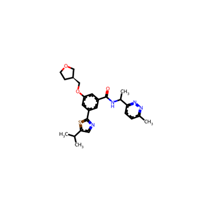 Cc1ccc(C(C)NC(=O)c2cc(OC[C@H]3CCOC3)cc(-c3ncc(C(C)C)s3)c2)nn1